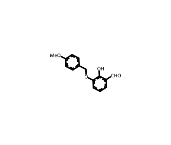 COc1ccc(COc2cccc(C=O)c2O)cc1